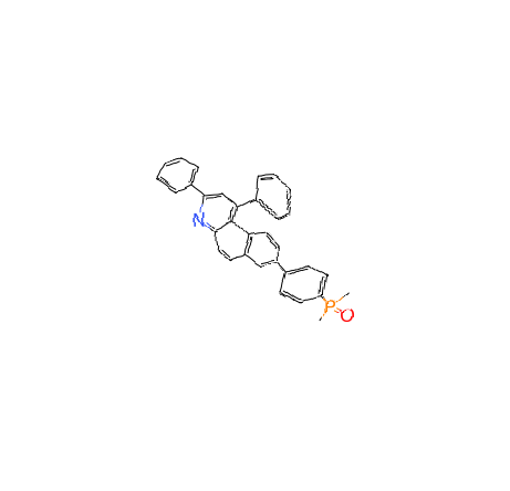 CP(C)(=O)c1ccc(-c2ccc3c(ccc4nc(-c5ccccc5)cc(-c5ccccc5)c43)c2)cc1